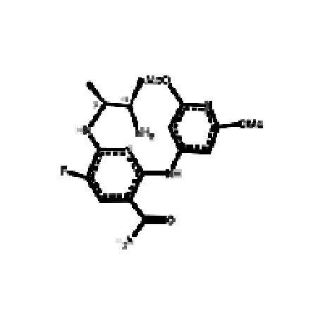 COc1cc(Nc2nc(N[C@@H](C)[C@@H](C)N)c(F)cc2C(N)=O)cc(OC)n1